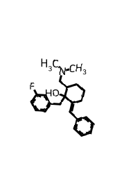 CN(C)CC1CCCC(=Cc2ccccc2)C1(O)Cc1cccc(F)c1